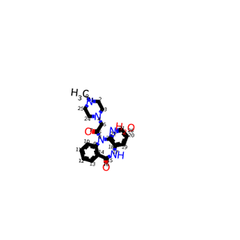 CN1CCN(CC(=O)N2c3ccccc3C(=O)Nc3cccnc32)CC1.O